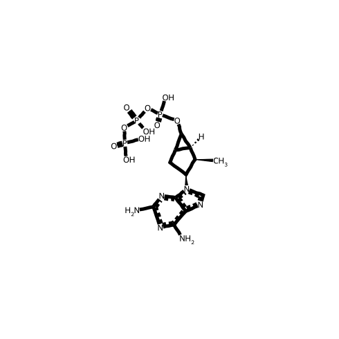 C[C@@H]1[C@H]2C(C[C@@H]1n1cnc3c(N)nc(N)nc31)C2OP(=O)(O)OP(=O)(O)OP(=O)(O)O